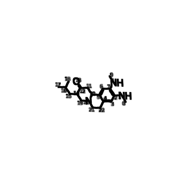 CNc1cc2c(cc1NC)C1CC(=O)C(CC(C)C)CN1CC2